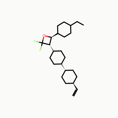 C=C[C@H]1CC[C@H](C2CCC([C@H]3[C@H](C4CCC(CC)CC4)OC3(F)F)CC2)CC1